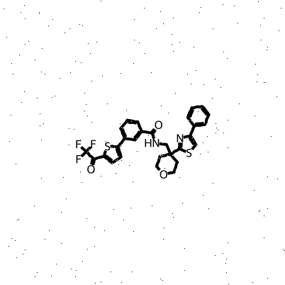 O=C(NCC1(c2nc(-c3ccccc3)cs2)CCOCC1)c1cccc(-c2ccc(C(=O)C(F)(F)F)s2)c1